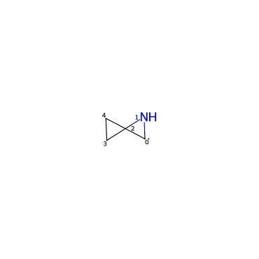 [CH]1NC12CC2